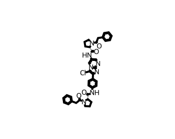 O=C(Nc1ccc(-c2nc3ncc(NC(=O)[C@@H]4CCCN4C(=O)Cc4ccccc4)cn3c2Cl)cc1)[C@@H]1CCCN1C(=O)Cc1ccccc1